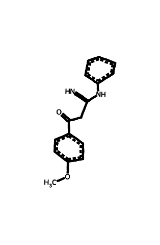 COc1ccc(C(=O)CC(=N)Nc2ccccc2)cc1